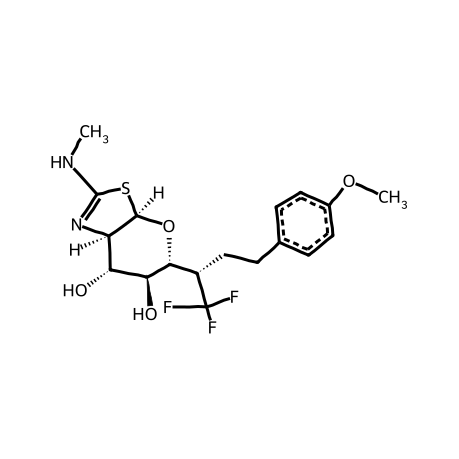 CNC1=N[C@@H]2[C@@H](O)[C@H](O)[C@@H]([C@H](CCc3ccc(OC)cc3)C(F)(F)F)O[C@@H]2S1